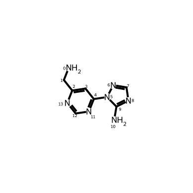 NCc1cc(-n2ncnc2N)ncn1